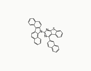 c1ccc2cc(-c3nc(-n4c5ccc6ccccc6c5c5ccc6ccccc6c54)nc4sc5ccccc5c34)ccc2c1